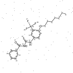 CCCCCCCOc1ccc(NC(=S)NC(=O)c2cccnc2)cc1C(F)(F)F